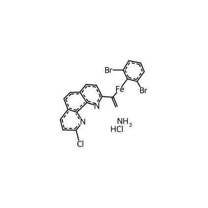 C=[C]([Fe][c]1c(Br)cccc1Br)c1ccc2ccc3ccc(Cl)nc3c2n1.Cl.N